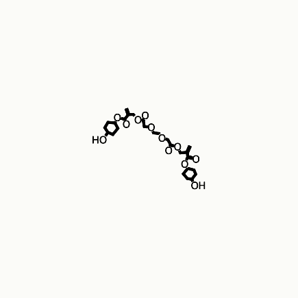 C=C(COC(=O)COCCOCC(=O)OCC(=C)C(=O)OC1CCC(O)CC1)C(=O)OC1CCC(O)CC1